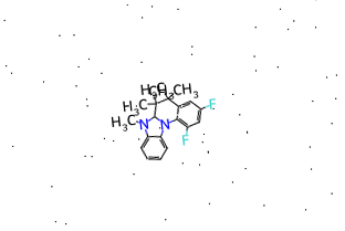 CN1c2ccccc2N2c3c(F)cc(F)cc3C(C)(C)C(C)(C)C12